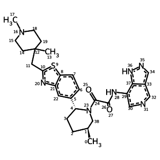 C[C@H]1CC[C@H](c2ccc3sc(CC4(C)CCN(C)CC4)nc3c2)N(C(=O)C(=O)Nc2cncc3cn[nH]c23)C1